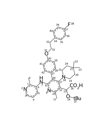 Cc1ncccc1Nc1nc(C)c(C(OC(C)(C)C)C(=O)O)c(N2CCC(C)(C)CC2)c1-c1ccc(OCCc2ccc(F)cc2)cc1